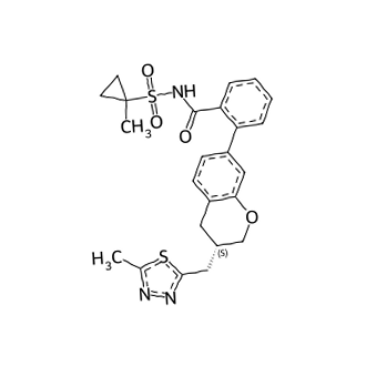 Cc1nnc(C[C@H]2COc3cc(-c4ccccc4C(=O)NS(=O)(=O)C4(C)CC4)ccc3C2)s1